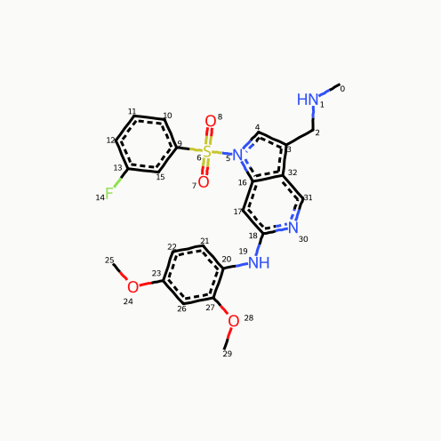 CNCc1cn(S(=O)(=O)c2cccc(F)c2)c2cc(Nc3ccc(OC)cc3OC)ncc12